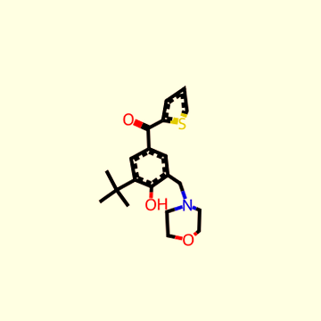 CC(C)(C)c1cc(C(=O)c2cccs2)cc(CN2CCOCC2)c1O